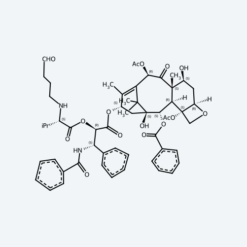 CC(=O)O[C@H]1C(=O)[C@@]2(C)[C@H]([C@H](OC(=O)c3ccccc3)[C@]3(O)C[C@H](OC(=O)[C@H](OC(=O)[C@@H](NCCCC=O)C(C)C)[C@@H](NC(=O)c4ccccc4)c4ccccc4)C(C)=C1C3(C)C)[C@]1(OC(C)=O)CO[C@@H]1C[C@@H]2O